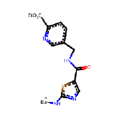 CCOC(=O)c1ccc(CNC(=O)c2cnc(N[C@H](C)CC)s2)cn1